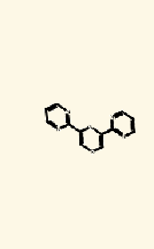 C1=C(c2ncccn2)SC(c2ncccn2)=CS1